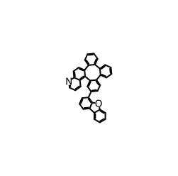 c1ccc2c(c1)-c1ccccc1-c1ccc3ncccc3c1-c1cc(-c3cccc4c3oc3ccccc34)ccc1-2